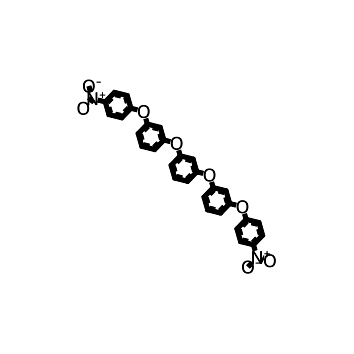 O=[N+]([O-])c1ccc(Oc2cccc(Oc3cccc(Oc4cccc(Oc5ccc([N+](=O)[O-])cc5)c4)c3)c2)cc1